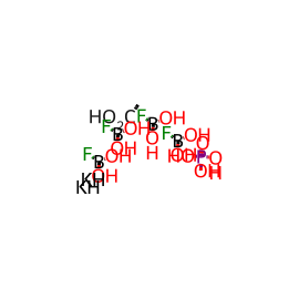 CC(=O)O.O=P(O)(O)O.OB(O)F.OB(O)F.OB(O)F.OB(O)F.[KH].[KH]